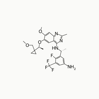 COCC1([C@H](C)Oc2cc3c(N[C@H](C)c4cc(N)cc(C(F)(F)F)c4F)nc(C)nc3cc2OC)CC1